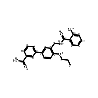 CCCOc1ccc(-c2cccc(C(=O)O)c2)cc1CNC(=O)c1ccccc1Cl